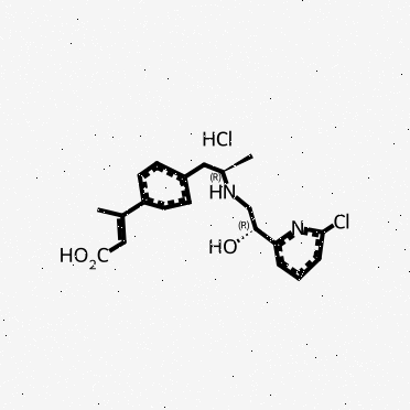 CC(=CC(=O)O)c1ccc(C[C@@H](C)NC[C@@H](O)c2cccc(Cl)n2)cc1.Cl